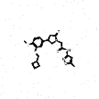 COc1ccc(C2CC(=O)N(CC(=O)Nc3cc(C)on3)C2)cc1OCC1CCC1